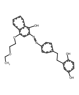 CCOCCOc1cc(N=Nc2ccc(CCc3cc(O)ccc3O)cc2)c(O)c2ccccc12